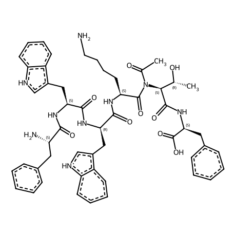 CC(=O)N(C(=O)[C@H](CCCCN)NC(=O)[C@@H](Cc1c[nH]c2ccccc12)NC(=O)[C@H](Cc1c[nH]c2ccccc12)NC(=O)[C@@H](N)Cc1ccccc1)[C@H](C(=O)N[C@@H](Cc1ccccc1)C(=O)O)[C@@H](C)O